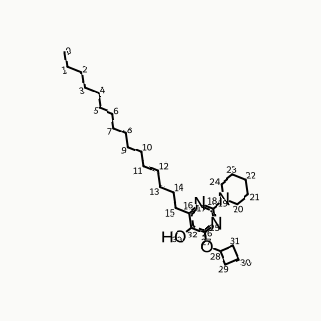 CCCCCCCCCCCCCCCCc1nc(N2CCCCC2)nc(OC2CCC2)c1O